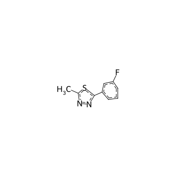 Cc1nnc(-c2cccc(F)c2)s1